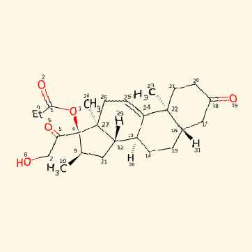 CCC(=O)O[C@]1(C(=O)CO)[C@H](C)C[C@H]2[C@@H]3CC[C@H]4CC(=O)CC[C@]4(C)C3=CC[C@@]21C